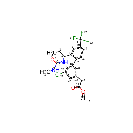 CCC(NC(=O)NC)c1cc(C(F)(F)F)ccc1-c1cc(Cl)cc(CC(=O)OC)c1